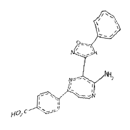 Nc1ncc(-c2ccc(C(=O)O)cc2)nc1-c1noc(-c2ccccc2)n1